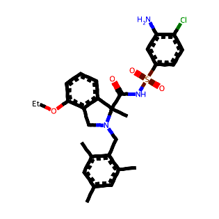 CCOc1cccc2c1CN(Cc1c(C)cc(C)cc1C)C2(C)C(=O)NS(=O)(=O)c1ccc(Cl)c(N)c1